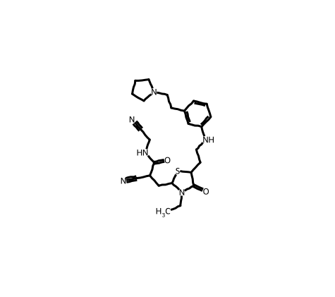 CCN1C(=O)C(CCNc2cccc(CCN3CCCC3)c2)SC1CC(C#N)C(=O)NCC#N